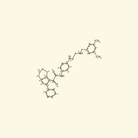 Cc1cc(C)nc(CNCCNc2ccc(NC(=O)C(=O)c3c(-c4ccccc4)cc4n3CCOC4)cc2)c1